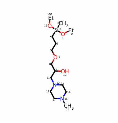 CCO[Si](C)(CCCOCC(O)CN1CCN(C)CC1)OCC